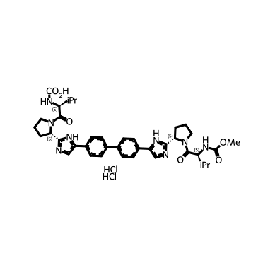 COC(=O)N[C@H](C(=O)N1CCC[C@H]1c1ncc(-c2ccc(-c3ccc(-c4cnc([C@@H]5CCCN5C(=O)[C@@H](NC(=O)O)C(C)C)[nH]4)cc3)cc2)[nH]1)C(C)C.Cl.Cl